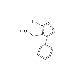 O=C(O)Cc1c(Br)cccc1-c1ccccc1